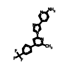 Cc1cc(-c2ccc(C(F)(F)F)cc2)cc(-n2cnc(-c3ccc(N)nc3)c2)n1